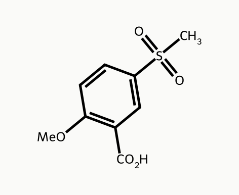 COc1ccc(S(C)(=O)=O)cc1C(=O)O